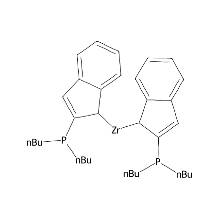 CCCCP(CCCC)C1=Cc2ccccc2[CH]1[Zr][CH]1C(P(CCCC)CCCC)=Cc2ccccc21